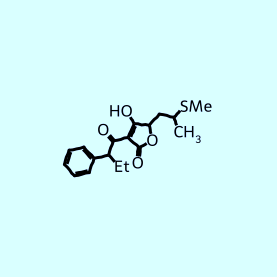 CCC(C(=O)C1=C(O)C(CC(C)SC)OC1=O)c1ccccc1